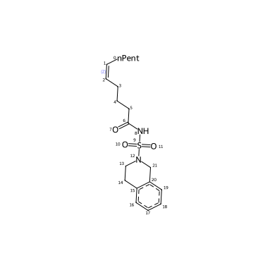 CCCCC/C=C\CCCC(=O)NS(=O)(=O)N1CCc2ccccc2C1